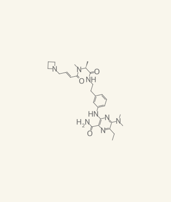 CCc1nc(C(N)=O)c(Nc2cccc(CCNC(=O)[C@H](C)N(C)C(=O)/C=C/CN3CCC3)c2)nc1N(C)C